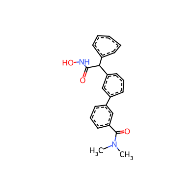 CN(C)C(=O)c1cccc(-c2cccc(C(C(=O)NO)c3ccccc3)c2)c1